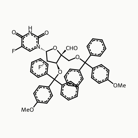 COc1ccc(C(OC[C@@]2(C=O)O[C@@H](n3cc(F)c(=O)[nH]c3=O)[C@@H](F)[C@@H]2OC(c2ccccc2)(c2ccccc2)c2ccc(OC)cc2)(c2ccccc2)c2ccccc2)cc1